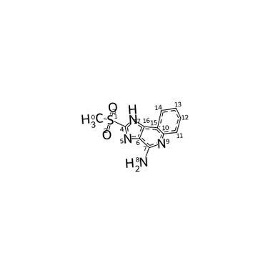 CS(=O)(=O)c1nc2c(N)nc3ccccc3c2[nH]1